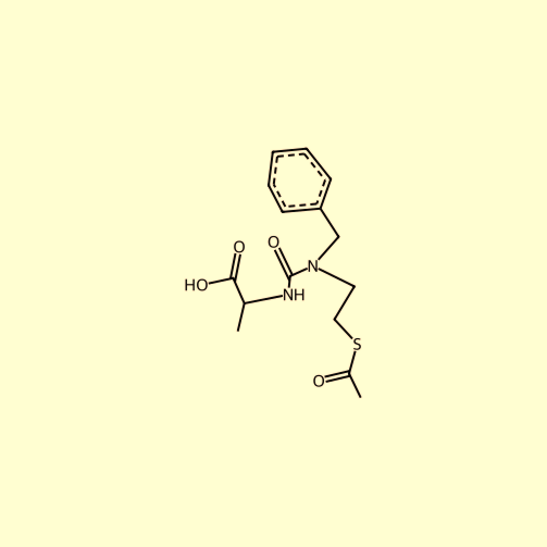 CC(=O)SCCN(Cc1ccccc1)C(=O)NC(C)C(=O)O